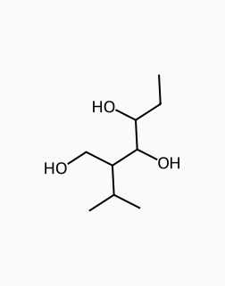 CCC(O)C(O)C(CO)C(C)C